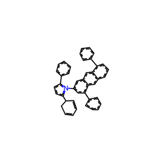 C1=CCC(c2ccc(-c3ccccc3)n2-c2cc(-c3ccccc3)c3cc4cccc(-c5ccccc5)c4cc3c2)C=C1